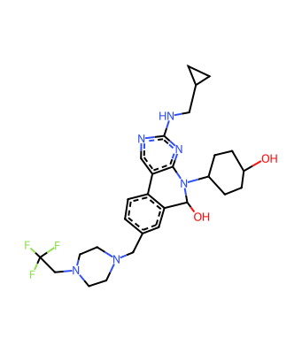 OC1CCC(N2c3nc(NCC4CC4)ncc3-c3ccc(CN4CCN(CC(F)(F)F)CC4)cc3C2O)CC1